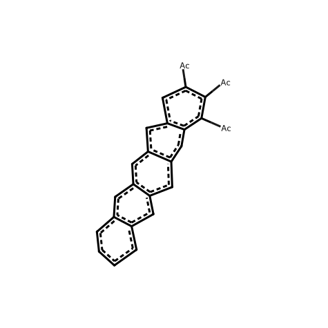 CC(=O)c1cc2cc3cc4cc5ccccc5cc4cc3cc2c(C(C)=O)c1C(C)=O